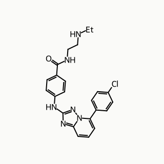 CCNCCNC(=O)c1ccc(Nc2nc3cccc(-c4ccc(Cl)cc4)n3n2)cc1